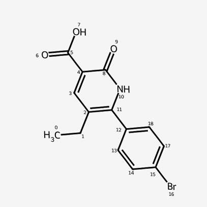 CCc1cc(C(=O)O)c(=O)[nH]c1-c1ccc(Br)cc1